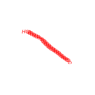 O=BOOOOOOOOOOOOOOOOOOOOOOOOOOOOOOOOOOOOOOOOOO